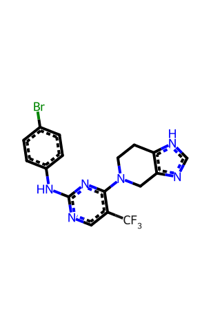 FC(F)(F)c1cnc(Nc2ccc(Br)cc2)nc1N1CCc2[nH]cnc2C1